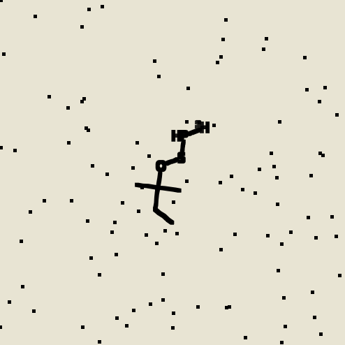 [3H]PSOC(C)(C)CC